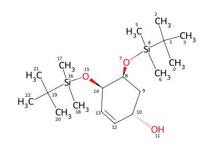 CC(C)(C)[Si](C)(C)O[C@H]1C[C@H](O)C=C[C@H]1O[Si](C)(C)C(C)(C)C